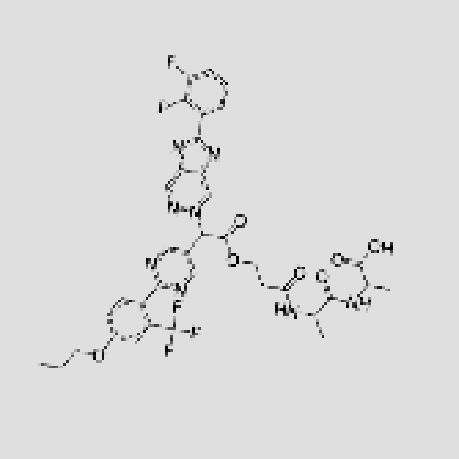 CCCOc1ccc(-c2ncc(C(C(=O)OCCC(=O)NC(C)C(=O)NC(C)C(=O)O)n3cc4nc(-c5cccc(F)c5F)nc-4cn3)cn2)c(C(F)(F)F)c1